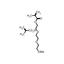 C=C(C)C(=O)O.C=C(C)C(=O)OCCOCCOCCOC